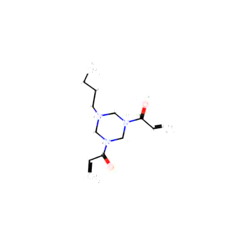 C=CC(=O)N1CN(CCCC)CN(C(=O)C=C)C1